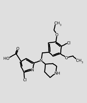 CCOc1cc(CN(c2cc(C(=O)O)cc(Cl)n2)C2CCNCC2)cc(OCC)c1Cl